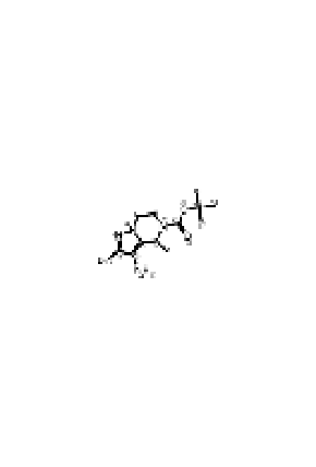 CC1c2c(N)c(Br)nn2CCN1C(=O)OC(C)(C)C